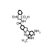 CCN(CC(NC(=O)c1ccc2c(c1)CC(c1cc(N)nc3[nH]c(C)nc13)N2)C(=O)O)c1ccccc1